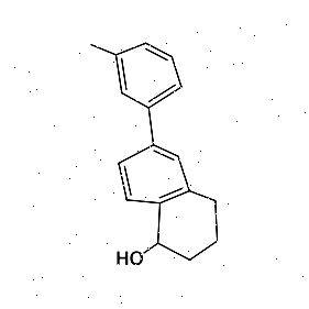 Cc1cccc(-c2ccc3c(c2)CCCC3O)c1